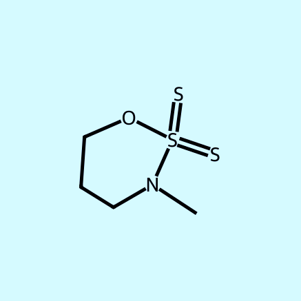 CN1CCCOS1(=S)=S